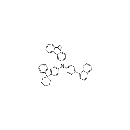 c1ccc(C2(c3ccc(N(c4ccc(-c5cccc6ccccc56)cc4)c4ccc5oc6ccccc6c5c4)cc3)CCCCC2)cc1